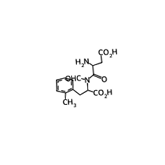 Cc1ccccc1CC(C(=O)O)N(C=O)C(=O)C(N)CC(=O)O